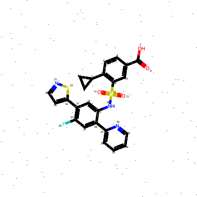 O=C(O)c1ccc(C2CC2)c(S(=O)(=O)Nc2cc(-c3ccns3)c(F)cc2-c2ccccn2)c1